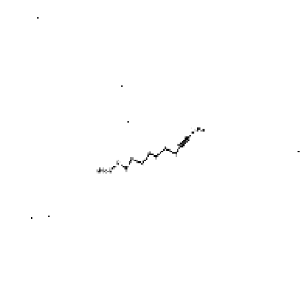 [CH2]CCCC#CCCCCCCCCCCCCCCCC[CH2]